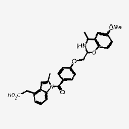 COc1ccc2c(c1)C(C)NC(COc1ccc(C(=O)n3c(C)cc4c(CC(=O)O)cccc43)cc1)O2